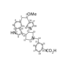 COC(Cc1ccc2[nH]cc(C3CCN(Cc4cccc(C(=O)O)c4)CC3)c2c1)c1ccsc1